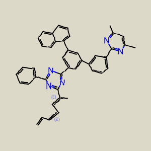 C=C/C=C\C=C(/C)c1nc(-c2ccccc2)nc(-c2cc(-c3cccc(-c4nc(C)cc(C)n4)c3)cc(-c3cccc4ccccc34)c2)n1